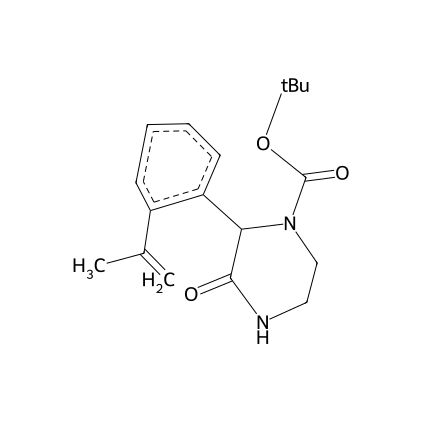 C=C(C)c1ccccc1C1C(=O)NCCN1C(=O)OC(C)(C)C